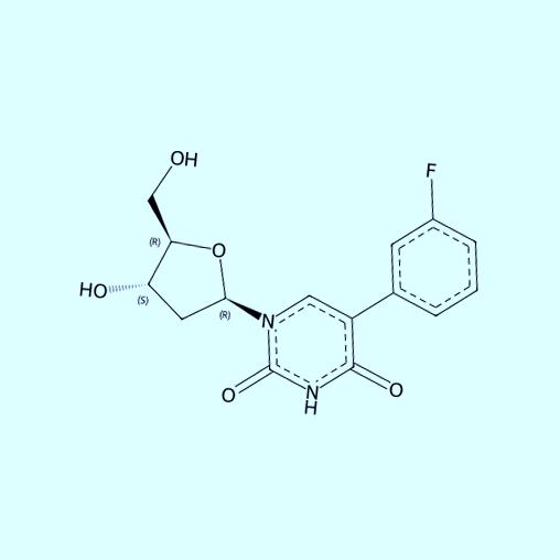 O=c1[nH]c(=O)n([C@H]2C[C@H](O)[C@@H](CO)O2)cc1-c1cccc(F)c1